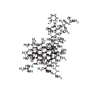 CC[C@H](C)[C@H](NC(=O)[C@H](CCC(=O)O)NC(=O)[C@@H](NC(=O)[C@H](CCCCN)NC(=O)[C@@H](NC(=O)CNC(=O)CNC(=O)CNC(=O)[C@H](Cc1ccccc1)NC(=O)[C@@H](NC(=O)[C@@H](N)CC(N)=O)[C@@H](C)O)[C@@H](C)O)C(C)C)C(=O)N[C@@H](CCCCN)C(=O)N[C@@H](CCCNC(=N)N)C(=O)N[C@H](C(=O)N[C@H](C(=O)N[C@@H](C)C(=O)N[C@@H](C)C(=O)N1CCC[C@H]1C(=O)N[C@@H](CO)C(=O)N[C@H](C(=O)O)C(C)C)C(C)C)[C@@H](C)O